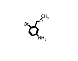 COCc1cc(N)ccc1Br